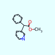 COC(=O)C(c1ccccc1)c1cccnc1